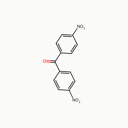 O=C(c1ccc([N+](=O)[O-])cc1)c1ccc([N+](=O)[O-])cc1